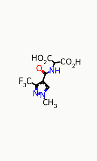 Cn1cc(C(=O)NC(C(=O)O)C(=O)O)c(C(F)(F)F)n1